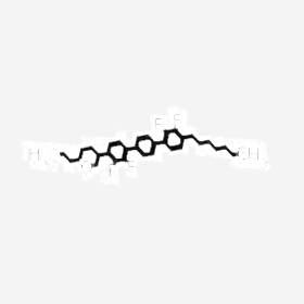 CCCCCCCc1ccc(-c2ccc(-c3ccc(C4CCC(CCC)OC4)c(F)c3F)cc2)c(F)c1F